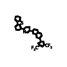 FC(F)(F)c1cc(-c2ccc3ccc(-c4ccc(-c5cccc6c5sc5ccccc56)nc4)cc3c2)cc(C(F)(F)F)c1